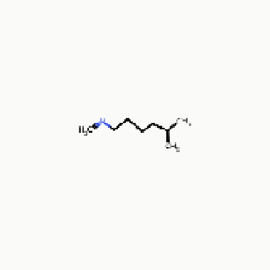 C=NCCCCC(C)C